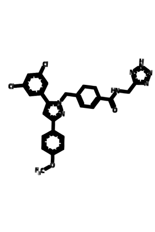 O=C(NCc1nn[nH]n1)C1=CC=C(Cn2nc(-c3ccc(OC(F)(F)F)cc3)cc2-c2cc(Cl)cc(Cl)c2)CC1